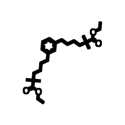 CCOC(=O)C(C)(C)CCCCc1cccc(CCCCC(C)(C)C(=O)OCC)c1